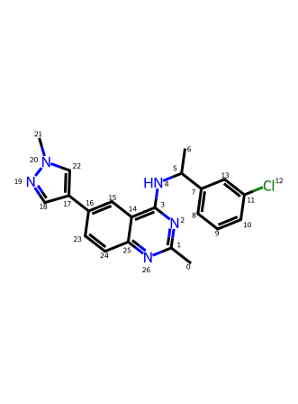 Cc1nc(NC(C)c2cccc(Cl)c2)c2cc(-c3cnn(C)c3)ccc2n1